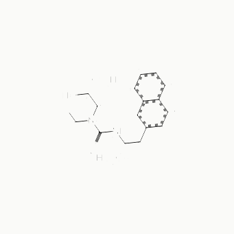 CC(C)CN(C[C@H](O)C(=O)O)C(=O)N[C@H](Cc1ccc2ccccc2c1)C(=O)O